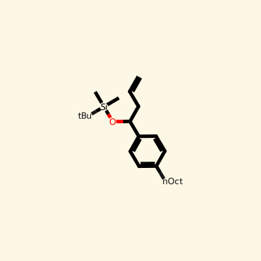 C=CCC(O[Si](C)(C)C(C)(C)C)c1ccc(CCCCCCCC)cc1